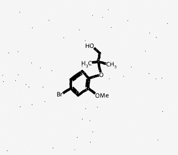 COc1cc(Br)ccc1OC(C)(C)CO